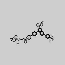 CCOC(=O)c1cc(-c2ccc(C3CCN(C(=O)CCCNC(=O)OC(C)(C)C)CC3)cc2)c2ccc(-c3ccc(C(F)(F)F)cc3)cc2c1